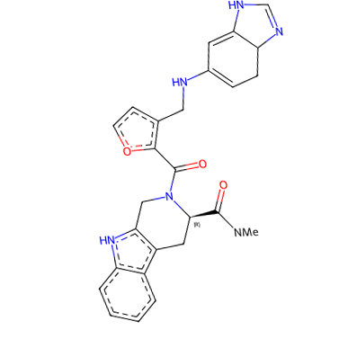 CNC(=O)[C@H]1Cc2c([nH]c3ccccc23)CN1C(=O)c1occc1CNC1=CCC2N=CNC2=C1